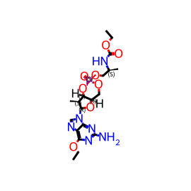 CCOC(=O)N[C@@H](C)CO[P@@]1(=O)OC[C@H]2O[C@@H](n3cnc4c(OCC)nc(N)nc43)[C@@H](C)[C@@H]2O1